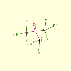 O=P(C(F)(F)F)(C(F)(F)F)C(F)(F)F